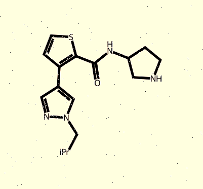 CC(C)Cn1cc(-c2ccsc2C(=O)NC2CCNC2)cn1